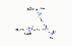 CCCCCCCCC(CCCCCC)CNC(=O)CCCCCN(CCCCCC(=O)NCC(CCCCCC)CCCCCCCC)CCN(CC)C1CC1